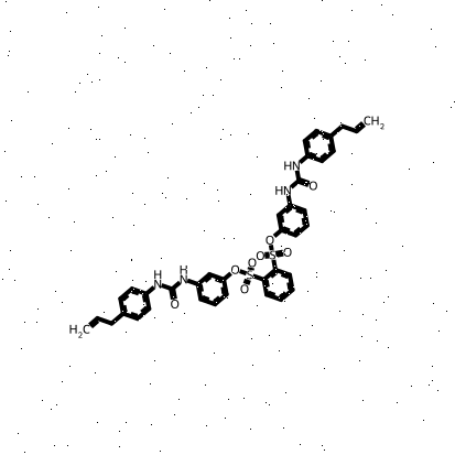 C=CCc1ccc(NC(=O)Nc2cccc(OS(=O)(=O)c3ccccc3S(=O)(=O)Oc3cccc(NC(=O)Nc4ccc(CC=C)cc4)c3)c2)cc1